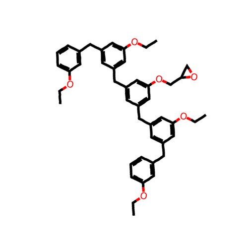 CCOc1cccc(Cc2cc(Cc3cc(Cc4cc(Cc5cccc(OCC)c5)cc(OCC)c4)cc(OCC4CO4)c3)cc(OCC)c2)c1